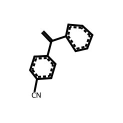 C=C(c1ccccc1)c1ccc(C#N)cc1